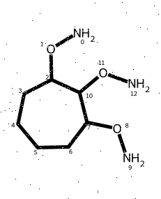 NOC1CCCCC(ON)C1ON